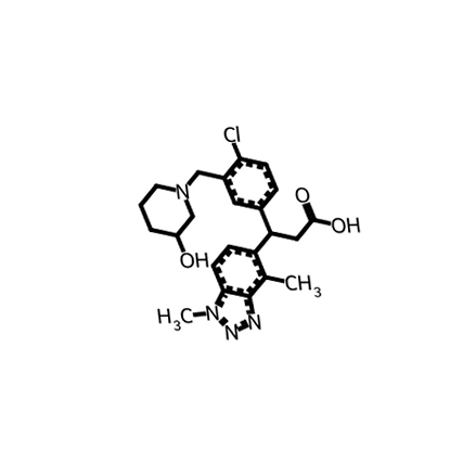 Cc1c(C(CC(=O)O)c2ccc(Cl)c(CN3CCCC(O)C3)c2)ccc2c1nnn2C